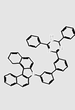 C1=Cc2ccc3c(c2CC1)c1c2ccccc2ccc1n3-c1cccc(-c2cccc(C3=NC(c4ccccc4)NC(c4ccccc4)=N3)c2)c1